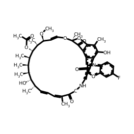 CO[C@H]1/C=C/O[C@@]2(C)Oc3c(C)c(O)c4c(=O)c(c5oc6cc(F)ccc6nc-5c4c3C2=O)NCC(=O)/C(C)=C\C=C\[C@H](C)[C@H](O)[C@@H](C)[C@@H](C)[C@@H](C)[C@H](OC(C)=O)[C@@H]1C